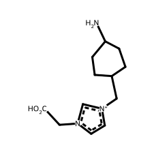 NC1CCC(C[n+]2ccn(CC(=O)O)c2)CC1